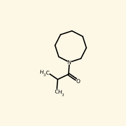 CC(C)C(=O)N1CCCCCCC1